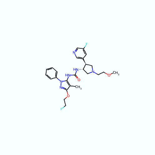 COCCN1C[C@H](NC(=O)Nc2c(C)c(OCCF)nn2-c2ccccc2)[C@@H](c2cncc(F)c2)C1